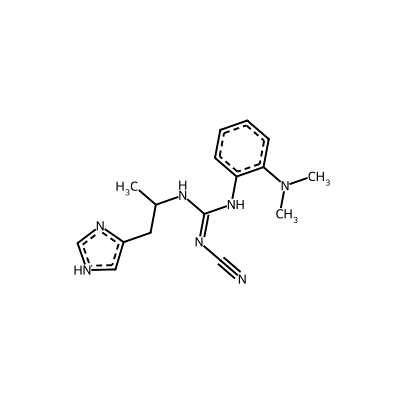 CC(Cc1c[nH]cn1)N/C(=N/C#N)Nc1ccccc1N(C)C